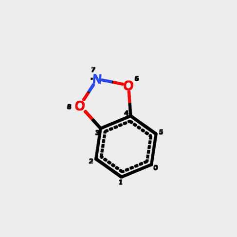 c1ccc2c(c1)O[N]O2